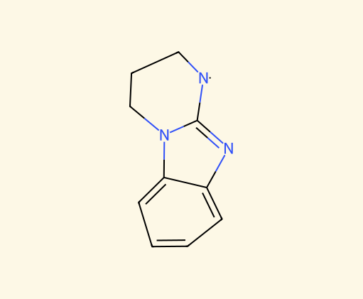 c1ccc2c(c1)nc1n2CCC[N]1